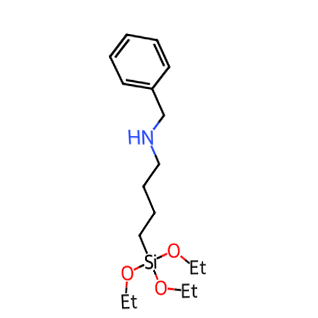 CCO[Si](CCCCNCc1ccccc1)(OCC)OCC